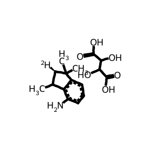 O=C(O)C(O)C(O)C(=O)O.[2H][C@@H]1C(C)c2c(N)cccc2C1(C)C